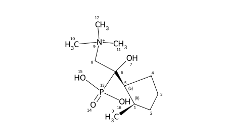 C[C@@H]1CCC[C@@H]1C(O)(C[N+](C)(C)C)P(=O)(O)O